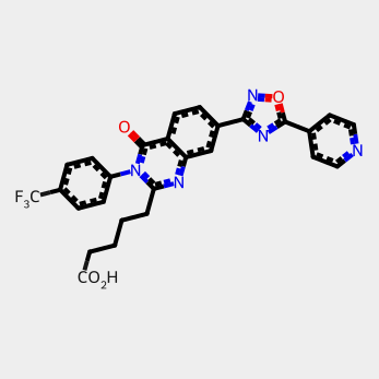 O=C(O)CCCCc1nc2cc(-c3noc(-c4ccncc4)n3)ccc2c(=O)n1-c1ccc(C(F)(F)F)cc1